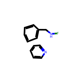 FNCc1ccccc1.c1ccncc1